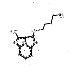 Cc1nc2cccc3nc(SCCCCN)c1n23